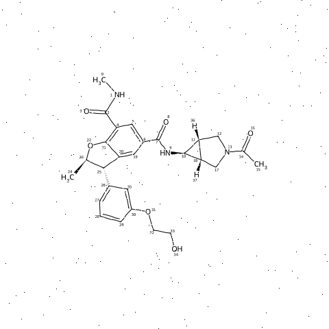 CNC(=O)c1cc(C(=O)N[C@H]2[C@@H]3CN(C(C)=O)C[C@@H]32)cc2c1O[C@H](C)[C@H]2c1cccc(OCCO)c1